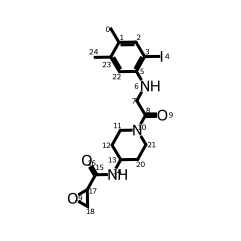 Cc1cc(I)c(NCC(=O)N2CCC(NC(=O)C3CO3)CC2)cc1C